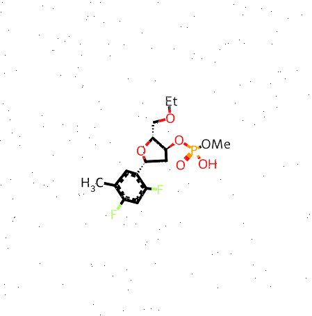 CCOC[C@H]1O[C@@H](c2cc(C)c(F)cc2F)C[C@@H]1OP(=O)(O)OC